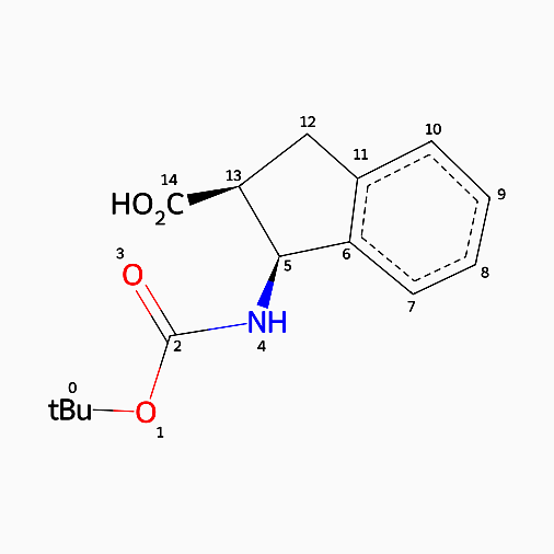 CC(C)(C)OC(=O)N[C@@H]1c2ccccc2C[C@@H]1C(=O)O